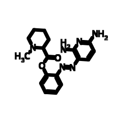 CN1CCCCC1C(=O)Oc1ccccc1N=Nc1ccc(N)nc1N